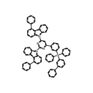 c1ccc(-c2cccc([Si](c3ccccc3)(c3ccccc3)c3cccc(-c4cc(-n5c6ccccc6c6c(-c7ccccc7)cccc65)nc(-n5c6ccccc6c6c(-c7ccccc7)cccc65)n4)c3)c2)cc1